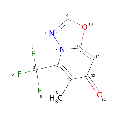 Cc1c(C(F)(F)F)n2ncoc2cc1=O